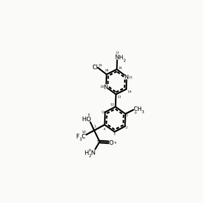 Cc1ccc(C(O)(C(N)=O)C(F)(F)F)cc1-c1cnc(N)c(Cl)n1